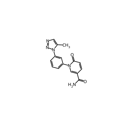 Cc1cnnn1-c1cccc(-n2cc(C(N)=O)ccc2=O)c1